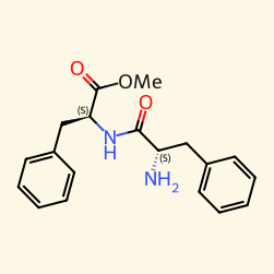 COC(=O)[C@H](Cc1ccccc1)NC(=O)[C@@H](N)Cc1ccccc1